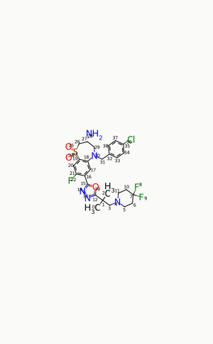 CC(C)(CN1CCC(F)(F)CC1)c1nnc(-c2cc3c(cc2F)S(=O)(=O)C[C@H](N)CN3Cc2ccc(Cl)cc2)o1